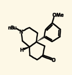 CCCCN1CC[C@@]2(c3cccc(OC)c3)CC(=O)CC[C@@H]2C1